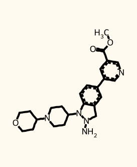 COC(=O)c1cncc(-c2ccc3c(c2)CN(N)N3C2CCN(C3CCOCC3)CC2)c1